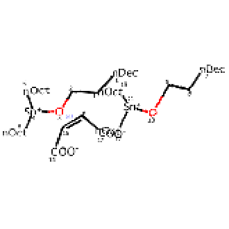 CCCCCCCCCCCC[O][Sn+]([CH2]CCCCCCC)[CH2]CCCCCCC.CCCCCCCCCCCC[O][Sn+]([CH2]CCCCCCC)[CH2]CCCCCCC.O=C([O-])/C=C\C(=O)[O-]